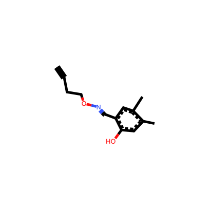 C#CCCON=Cc1cc(C)c(C)cc1O